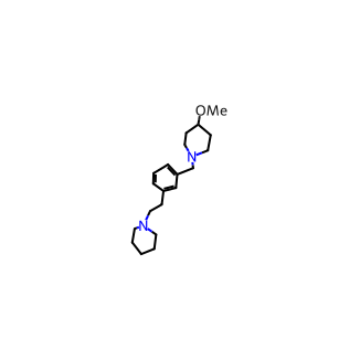 COC1CCN(Cc2cccc(CCN3CCCCC3)c2)CC1